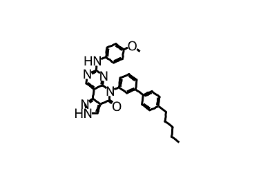 CCCCCc1ccc(-c2cccc(-n3c(=O)c4c[nH]nc4c4cnc(Nc5ccc(OC)cc5)nc43)c2)cc1